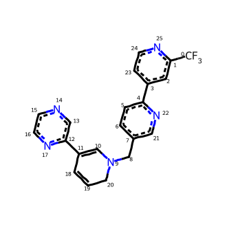 FC(F)(F)c1cc(-c2ccc(CN3C=C(c4cnccn4)C=CC3)cn2)ccn1